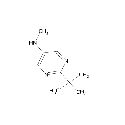 CNc1cnc(C(C)(C)C)nc1